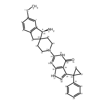 CSc1ccc2c(c1)[C@@H](N)C1(CCN(c3nc4[nH]nc(C5(c6ccccc6)CC5)c4c(=O)[nH]3)CC1)C2